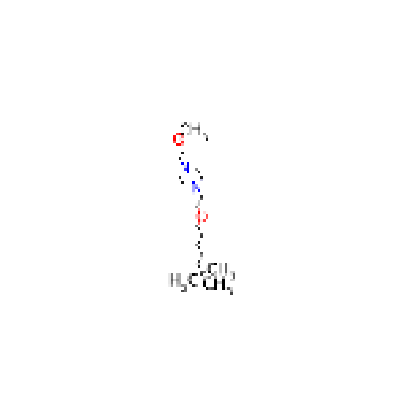 COCCN1CCN(CCOCCCCCC(C)(C)C)CC1